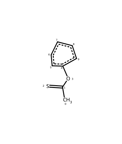 CC(=S)Oc1ccccc1